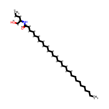 CCCCCCCCCCCCCCCCCCCCCCCCCCCCCC(=O)NC(CO)CCC